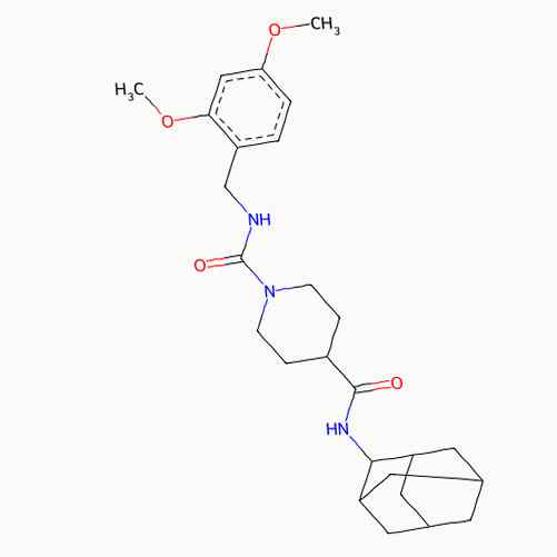 COc1ccc(CNC(=O)N2CCC(C(=O)NC3C4CC5CC(C4)CC3C5)CC2)c(OC)c1